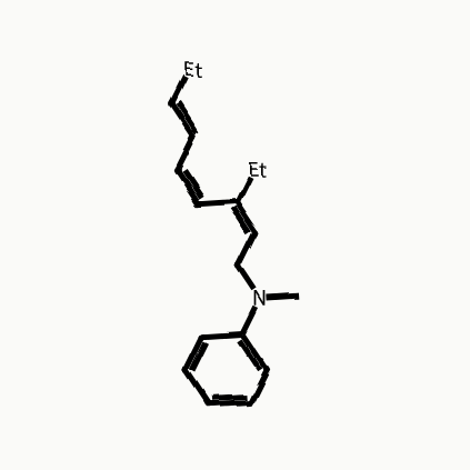 CC/C=C/C=C\C(=CCN(C)c1ccccc1)CC